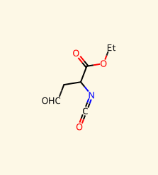 CCOC(=O)C(CC=O)N=C=O